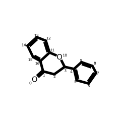 O=C1CC(c2ccccc2)Oc2ccccc21